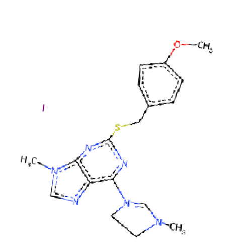 COc1ccc(CSc2nc([N+]3=CN(C)CC3)c3ncn(C)c3n2)cc1.[I-]